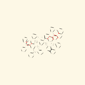 FC(F)(F)c1cccc(-c2ccccc2)c1N1c2cc3c(cc2B2c4ccccc4N(c4ccccc4)c4cc(N(c5ccccc5)c5ccccc5)cc1c42)B1c2ccccc2N(c2c(-c4ccccc4)cccc2-c2ccccc2)c2cc(N(c4ccccc4)c4c(-c5ccccc5)cccc4-c4ccccc4)cc(c21)S3